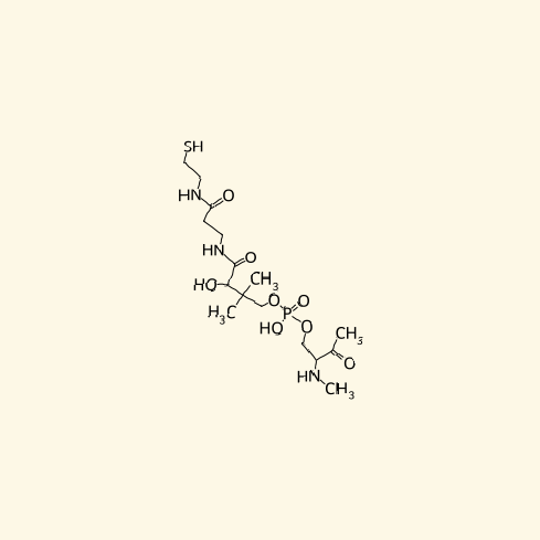 CNC(COP(=O)(O)OCC(C)(C)C(O)C(=O)NCCC(=O)NCCS)C(C)=O